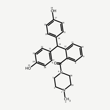 CN1CCN(C(=O)c2ccccc2C(c2ccc(O)cc2)c2ccc(O)cc2)CC1